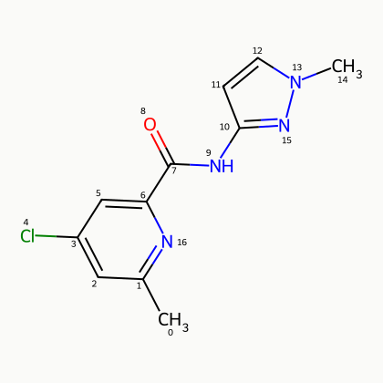 Cc1cc(Cl)cc(C(=O)Nc2ccn(C)n2)n1